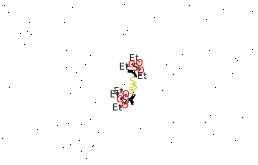 CCO[Si](OCC)(OCC)C(C)CSSSCC(C)[Si](OCC)(OCC)OCC